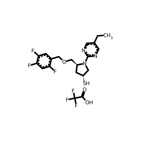 CCc1cnc(N2C[C@H](S)C[C@H]2COCc2cc(F)c(F)cc2F)nc1.O=C(O)C(F)(F)F